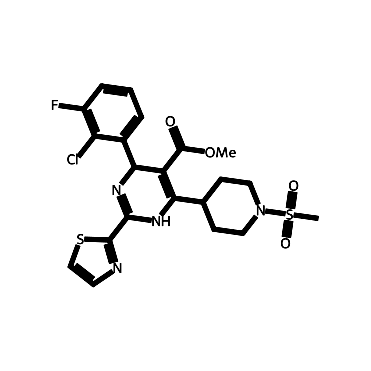 COC(=O)C1=C(C2CCN(S(C)(=O)=O)CC2)NC(c2nccs2)=NC1c1cccc(F)c1Cl